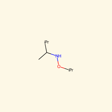 CC(C)ONC(C)C(C)C